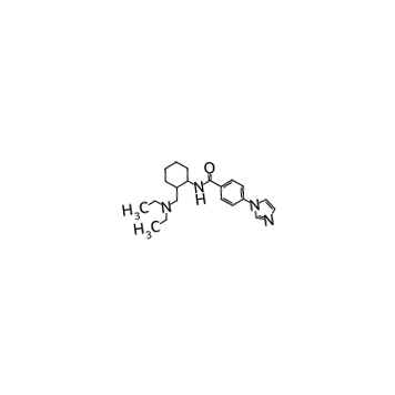 CCN(CC)CC1CCCCC1NC(=O)c1ccc(-n2ccnc2)cc1